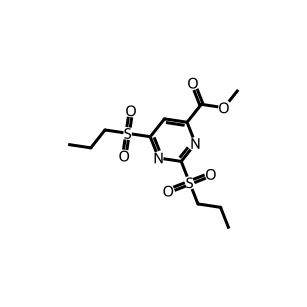 CCCS(=O)(=O)c1cc(C(=O)OC)nc(S(=O)(=O)CCC)n1